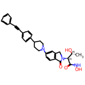 C[C@@H](O)[C@@H](C(=O)NO)N1Cc2cc(N3CCC(c4ccc(C#Cc5ccccc5)cc4)CC3)ccc2C1=O